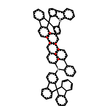 C1=CC2c3ccccc3C3(c4ccccc4-c4ccc(N(c5ccc6cc(-c7ccc8c(c7)C7(c9ccccc9-8)c8ccccc8-n8c9ccccc9c9cccc7c98)ccc6c5)c5ccccc5-c5ccc(-c6ccccc6)cc5)cc43)C2C=C1